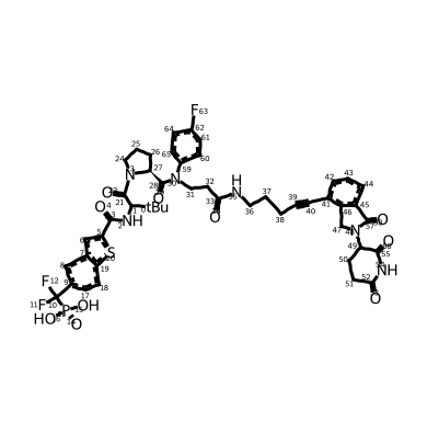 CC(C)(C)C(NC(=O)c1cc2cc(C(F)(F)P(=O)(O)O)ccc2s1)C(=O)N1CCC[C@H]1C(=O)N(CCC(=O)NCCCC#Cc1cccc2c1CN(C1CCC(=O)NC1=O)C2=O)c1ccc(F)cc1